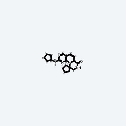 O=C1NCC2(CCCC2)N2c3nc(NC4CCCC4)ncc3C=CC12